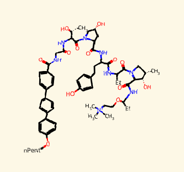 CCCCCOc1ccc(-c2ccc(-c3ccc(C(=O)NCC(=O)NC(C(=O)N4C[C@H](O)CC4C(=O)NC(CCc4ccc(O)cc4)C(=O)NC(CC)C(=O)N4C[C@H](C)[C@H](O)C4C(=O)NC(CC)OCC[N+](C)(C)C)[C@@H](C)O)cc3)cc2)cc1